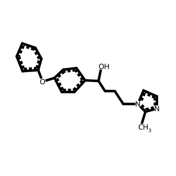 Cc1nccn1CCCC(O)c1ccc(Oc2ccccc2)cc1